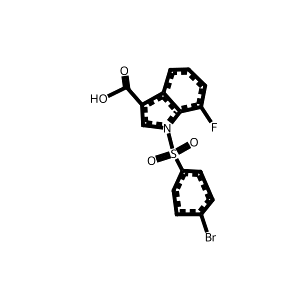 O=C(O)c1cn(S(=O)(=O)c2ccc(Br)cc2)c2c(F)cccc12